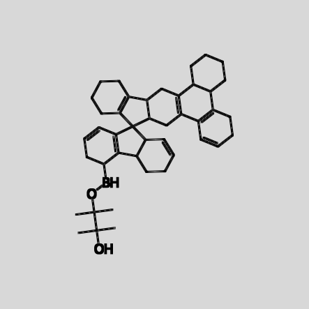 CC(C)(O)C(C)(C)OBC1CC=CC2=C1C1CCC=CC1C21C2=C(CCCC2)C2CC3=C(CC21)C1=C(CCC=C1)C1CCCCC31